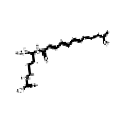 CC(O)CCC/C=C/C=C/C=C/C(=O)NC(CCCNC(=N)N)C(=O)O